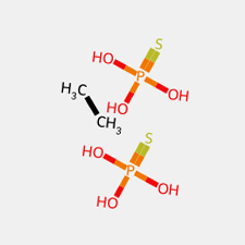 CC.OP(O)(O)=S.OP(O)(O)=S